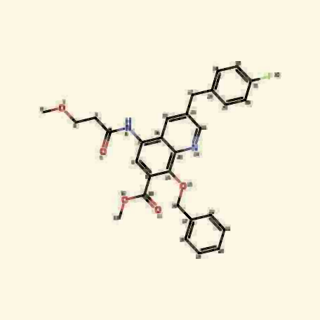 COCCC(=O)Nc1cc(C(=O)OC)c(OCc2ccccc2)c2ncc(Cc3ccc(F)cc3)cc12